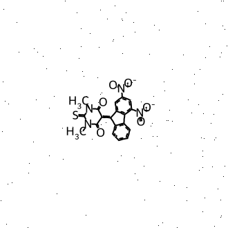 CN1C(=O)C(=C2c3ccccc3-c3c2cc([N+](=O)[O-])cc3[N+](=O)[O-])C(=O)N(C)C1=S